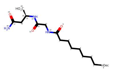 CCCCCCCCCCCCCCCCCC(=O)NCC(=O)N[C@@H](CC(N)=O)C(=O)O